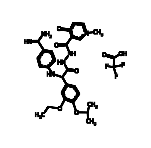 CCOc1cc(C(Nc2ccc(C(=N)N)cc2)C(=O)NNC(=O)c2cn(C)ccc2=O)ccc1OC(C)C.O=C(O)C(F)(F)F